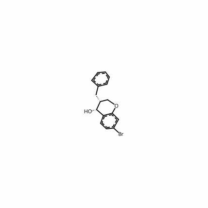 O[C@H]1c2ccc(Br)cc2OC[C@H]1Cc1ccccc1